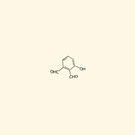 O=Cc1cccc(O)c1C=O